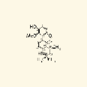 COc1c(O)ccc2c1-c1ccc3c(c1CO2)C(C)=CC(C)(C)N3